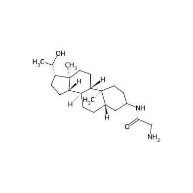 CC(O)[C@H]1CC[C@H]2[C@@H]3CC[C@H]4CC(NC(=O)CN)CC[C@]4(C)[C@H]3CC[C@]12C